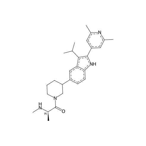 CN[C@H](C)C(=O)N1CCCC(c2ccc3[nH]c(-c4cc(C)nc(C)c4)c(C(C)C)c3c2)C1